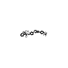 Cc1nn2ccccc2c1C(=O)NCc1ccc(N2CCC3(C2)CN(c2ccc(OC(F)(F)F)cc2)C3)cc1